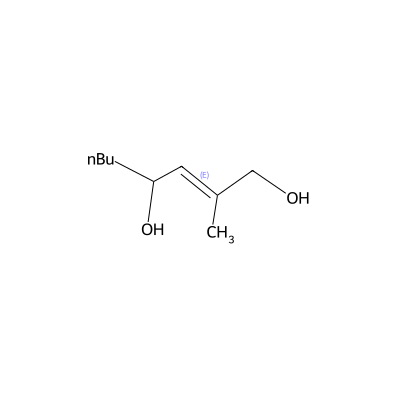 CCCCC(O)/C=C(\C)CO